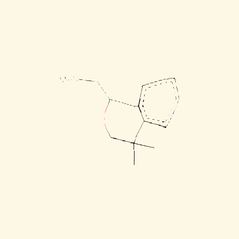 CNCC1OCC(C)(C)c2ccccc21